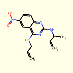 C=CCNc1nc(NC(C)C=C)nc2ccc([N+](=O)[O-])cc12